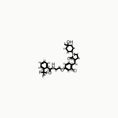 CC1(O)CCC(N2CCC(Cc3ccc(OCCNC(=O)c4ccccc4C(F)(F)F)cc3Cl)C2=O)CC1